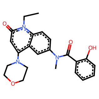 CCn1c(=O)cc(N2CCOCC2)c2cc(N(C)C(=O)c3ccccc3O)ccc21